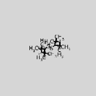 CC1(C)CC(C)(C)C1SSC1C(C)(C)CC1(C)C